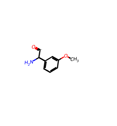 COc1cccc(C(N)[C]=O)c1